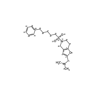 CN(C)Cc1cc2c(o1)CCN(S(=O)(=O)CCCCCc1ccccc1)C2